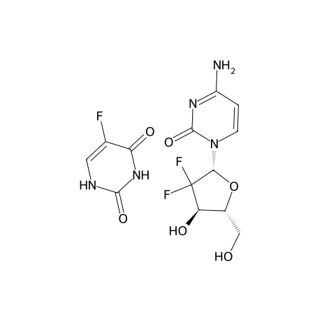 Nc1ccn([C@@H]2O[C@H](CO)[C@@H](O)C2(F)F)c(=O)n1.O=c1[nH]cc(F)c(=O)[nH]1